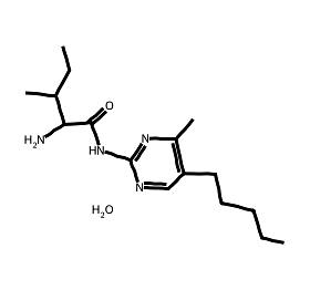 CCCCCc1cnc(NC(=O)C(N)C(C)CC)nc1C.O